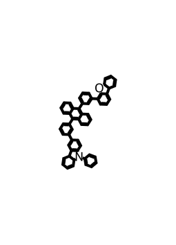 C1=CC2Oc3c(-c4cccc(-c5c6ccccc6c(-c6cccc(-c7ccc8c(c7)C7C=CC=CC7N8c7ccccc7)c6)c6ccccc56)c4)cccc3C2C=C1